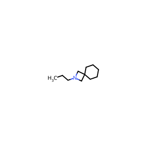 CCCN1CC2(CCCCC2)C1